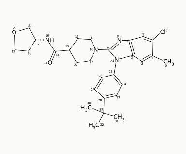 Cc1cc2c(cc1Cl)nc(N1CCC(C(=O)N[C@@H]3CCOC3)CC1)n2-c1ccc(C(C)(C)C)cc1